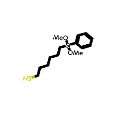 CO[Si](CCCCCCS)(OC)c1ccccc1